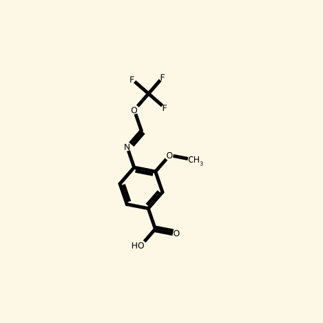 COc1cc(C(=O)O)ccc1N=COC(F)(F)F